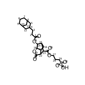 O=C(CCC1CC2CCCC(C2)C1)OC1C2CC3C1OC(=O)C3C2C(=O)OCCCS(=O)(=O)O